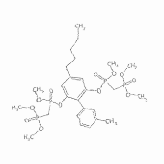 CCCCCc1cc(OP(=O)(CP(=O)(OC)OC)OC)c(-c2cccc(C)c2)c(OP(=O)(CP(=O)(OC)OC)OC)c1